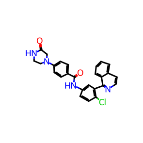 O=C1CN(c2ccc(C(=O)Nc3ccc(Cl)c(-c4nccc5ccccc45)c3)cc2)CCN1